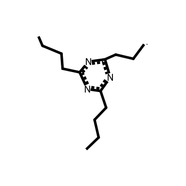 [CH2]CCc1nc(CCCC)nc(CCCC)n1